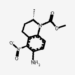 COC(=O)N1c2ccc(N)c([N+](=O)[O-])c2CC[C@@H]1C